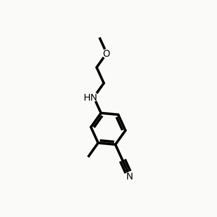 COCCNc1ccc(C#N)c(C)c1